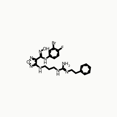 N/C(=N\CCc1ccccc1)NCCCNc1nonc1/C(=N/O)Nc1ccc(F)c(Br)c1